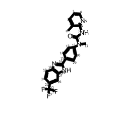 Cc1cccnc1NC(=O)N(C)c1ccc(-c2nc3ccc(C(F)(F)F)cc3[nH]2)cc1